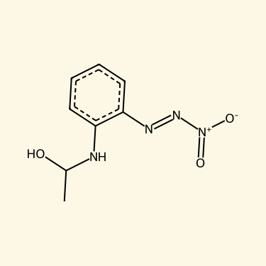 CC(O)Nc1ccccc1/N=N/[N+](=O)[O-]